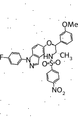 COc1cccc([C@H](Oc2ccc3c(cnn3-c3ccc(F)cc3)c2)[C@H](C)NS(=O)(=O)c2ccc([N+](=O)[O-])cc2)c1